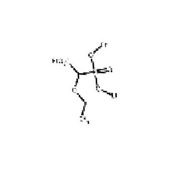 CCOC(=O)C(OCC(F)(F)F)P(=O)(OCC)OCC